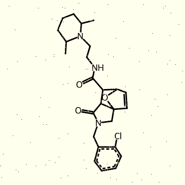 CC1CCCC(C)N1CCNC(=O)C1C2C=CC3(CN(Cc4ccccc4Cl)C(=O)C13)O2